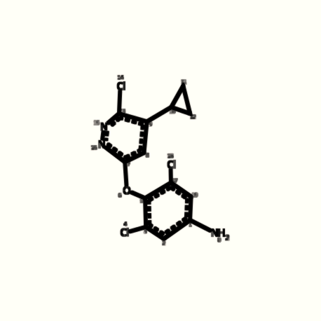 Nc1cc(Cl)c(Oc2cc(C3CC3)c(Cl)nn2)c(Cl)c1